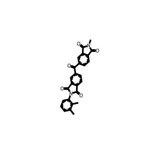 Cc1cccc(N2C(=O)c3ccc(C(=O)c4ccc5c(c4)C(=O)N(C)C5=O)cc3C2=O)c1C